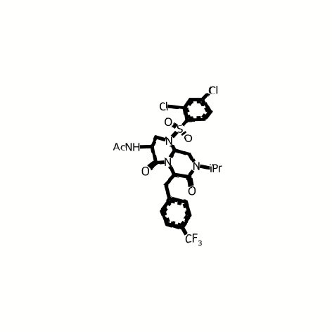 CC(=O)NC1CN(S(=O)(=O)c2ccc(Cl)cc2Cl)C2CN(C(C)C)C(=O)C(Cc3ccc(C(F)(F)F)cc3)N2C1=O